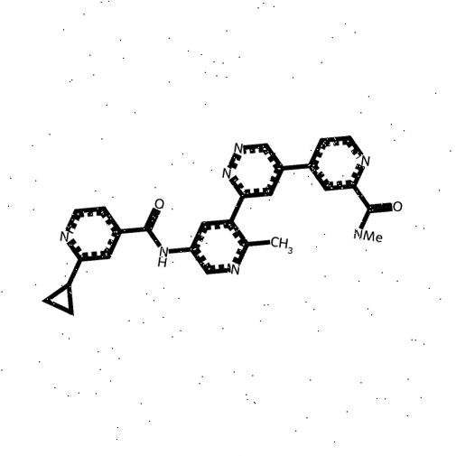 CNC(=O)c1cc(-c2cnnc(-c3cc(NC(=O)c4ccnc(C5CC5)c4)cnc3C)c2)ccn1